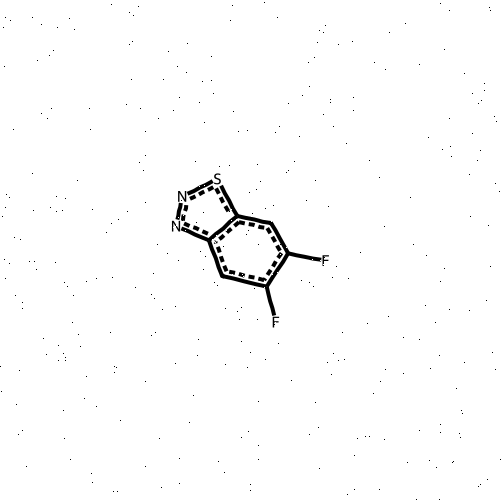 Fc1cc2nnsc2cc1F